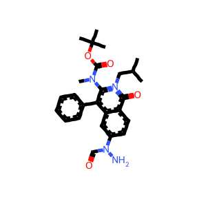 CC(C)Cn1c(N(C)C(=O)OC(C)(C)C)c(-c2ccccc2)c2cc(N(N)C=O)ccc2c1=O